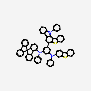 c1ccc(N(c2cc(-c3cc4c5ccccc5n(-c5ccccc5)c4c4c3sc3ccccc34)cc(N(c3ccccc3)c3cccc4c3-c3ccccc3C43c4ccccc4-c4ccccc43)c2)c2ccc3c(c2)sc2ccccc23)cc1